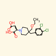 CCOCC1(Cc2ccc(Cl)c(Cl)c2)CCN(C(=CC(=O)O)C(=O)O)CC1